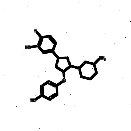 N#Cc1ccc(OC2CC(c3ccc(F)c(O)c3)CC2N2CCCC(N)C2)cc1